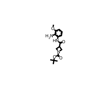 COc1cccc(NC(=O)C2CN(C(=O)OC(C)(C)C)C2)c1N